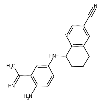 CC(=N)c1cc(NC2CCCc3cc(C#N)cnc32)ccc1N